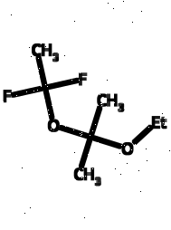 CCOC(C)(C)OC(C)(F)F